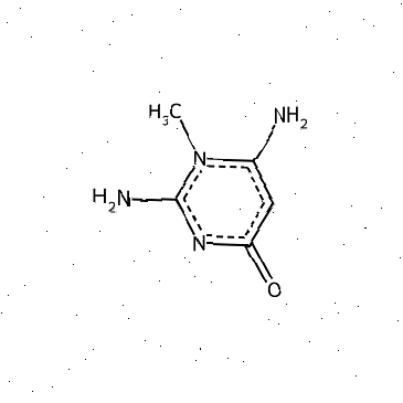 Cn1c(N)cc(=O)nc1N